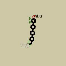 CCCCOc1ccc(-c2ccc(C3CCC(C4CCC(CC(C)(F)F)CC4)CC3)cc2)c(F)c1F